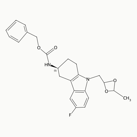 CC1OC(Cn2c3c(c4cc(F)ccc42)C[C@@H](NC(=O)OCc2ccccc2)CC3)O1